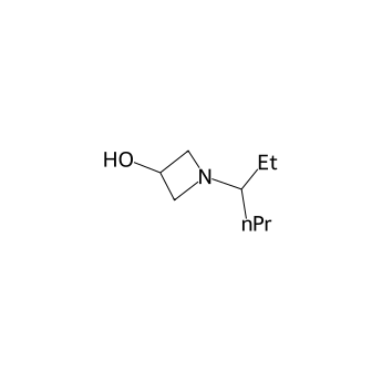 CCCC(CC)N1CC(O)C1